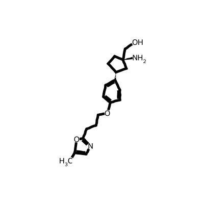 Cc1cnc(CCCOc2ccc([C@@H]3CC[C@](N)(CO)C3)cc2)o1